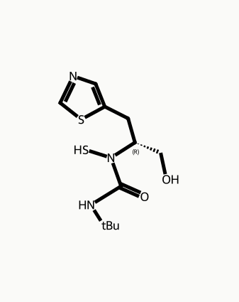 CC(C)(C)NC(=O)N(S)[C@@H](CO)Cc1cncs1